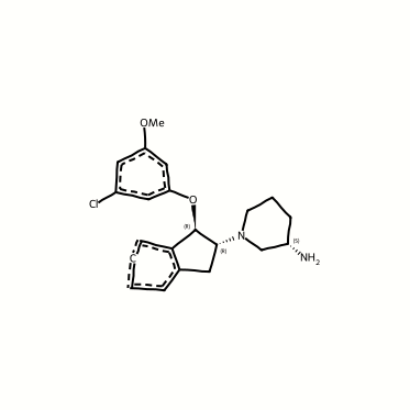 COc1cc(Cl)cc(O[C@@H]2c3ccccc3C[C@H]2N2CCC[C@H](N)C2)c1